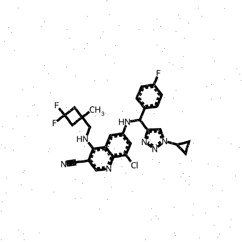 CC1(CNc2c(C#N)cnc3c(Cl)cc(NC(c4ccc(F)cc4)c4cn(C5CC5)nn4)cc23)CC(F)(F)C1